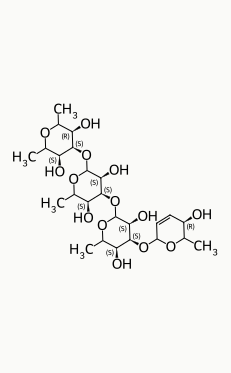 CC1OC(O[C@@H]2[C@H](O)C(O[C@@H]3[C@H](O)C(O[C@@H]4[C@H](O)C(C)OC(C)[C@@H]4O)OC(C)[C@@H]3O)OC(C)[C@@H]2O)C=C[C@H]1O